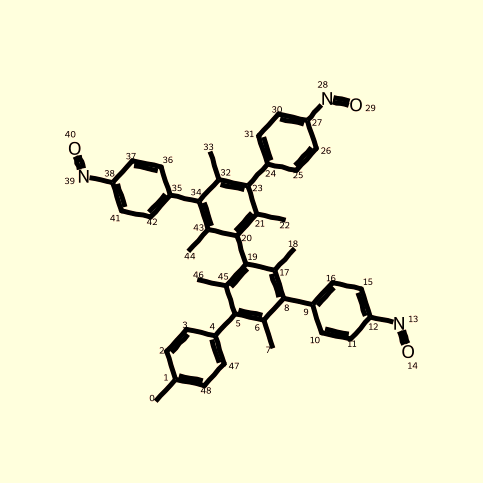 Cc1ccc(-c2c(C)c(-c3ccc(N=O)cc3)c(C)c(-c3c(C)c(-c4ccc(N=O)cc4)c(C)c(-c4ccc(N=O)cc4)c3C)c2C)cc1